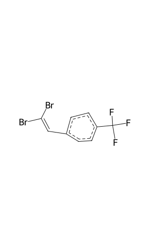 FC(F)(F)c1ccc(C=C(Br)Br)cc1